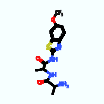 CC(N)C(=O)NC(C)C(=O)Nc1nc2ccc(OC(F)(F)F)cc2s1